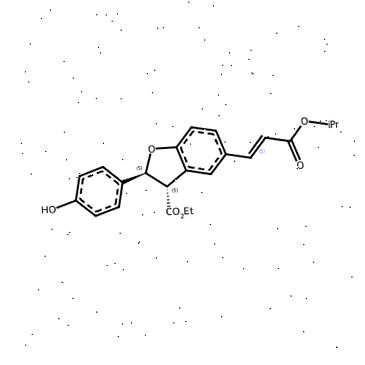 CCOC(=O)[C@H]1c2cc(/C=C/C(=O)OC(C)C)ccc2O[C@@H]1c1ccc(O)cc1